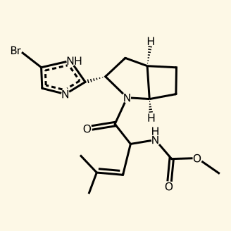 COC(=O)NC(C=C(C)C)C(=O)N1[C@@H]2CC[C@@H]2C[C@H]1c1ncc(Br)[nH]1